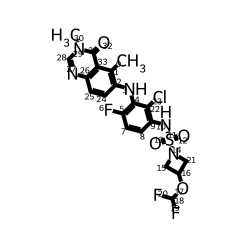 Cc1c(Nc2c(F)ccc(NS(=O)(=O)N3CC(OC(F)F)C3)c2Cl)ccc2ncn(C)c(=O)c12